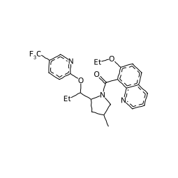 CCOc1ccc2cccnc2c1C(=O)N1CC(C)CC1C(CC)Oc1ccc(C(F)(F)F)cn1